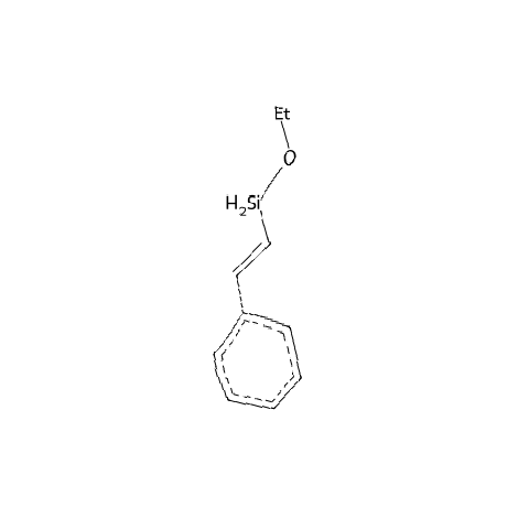 CCO[SiH2]C=Cc1ccccc1